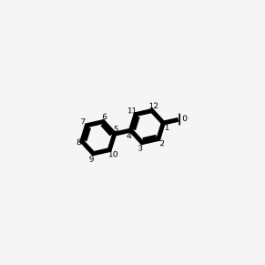 IC1C=CC(C2=CC=CCC2)=CC1